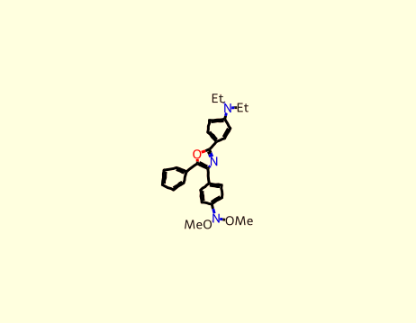 CCN(CC)c1ccc(-c2nc(-c3ccc(N(OC)OC)cc3)c(-c3ccccc3)o2)cc1